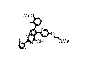 COCCOc1ccc(-c2c(-c3cccc(OC)c3C)cn3nc(-c4nccn4C)nc(O)c23)nc1